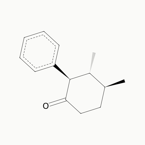 C[C@@H]1[C@@H](C)CCC(=O)[C@H]1c1ccccc1